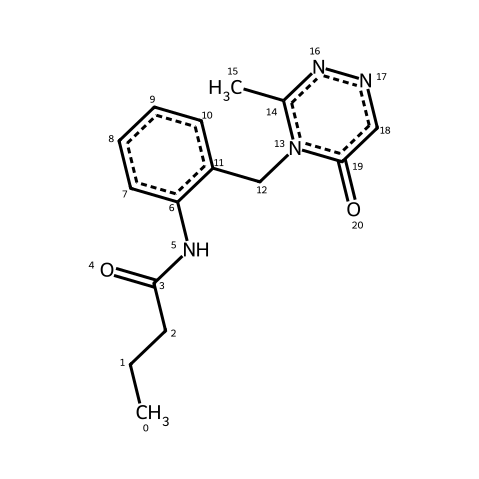 CCCC(=O)Nc1ccccc1Cn1c(C)nncc1=O